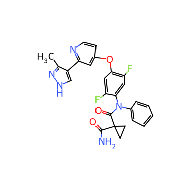 Cc1n[nH]cc1-c1cc(Oc2cc(F)c(N(C(=O)C3(C(N)=O)CC3)c3ccccc3)cc2F)ccn1